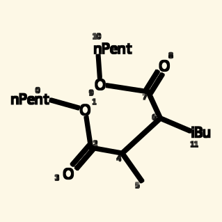 CCCCCOC(=O)C(C)C(C(=O)OCCCCC)C(C)CC